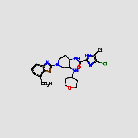 CCc1[nH]c(C(=O)NC2CCN(c3nc4cccc(C(=O)O)c4s3)CC2NC2CCOCC2)nc1Cl